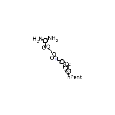 CCCCCC12CCC(C(F)(F)Oc3ccc(/C=C/C(=O)OCCCOC(=O)c4cc(N)cc(N)c4)cc3)(CC1)CC2